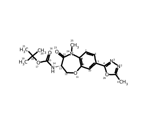 Cc1nnc(-c2ccc3c(c2)OC[C@H](NC(=O)OC(C)(C)C)C(=O)N3C)o1